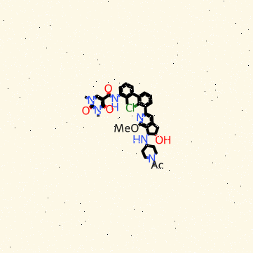 COc1nc(-c2cccc(-c3cccc(NC(=O)c4cn(C)c(=O)n(C)c4=O)c3C)c2Cl)cc2c1C(NC1CCN(C(C)=O)CC1)C(O)C2